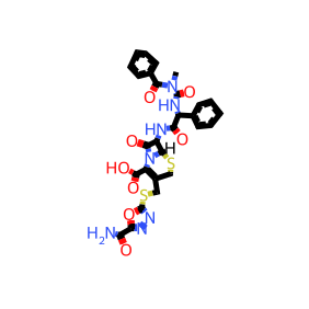 CN(C(=O)NC(C(=O)NC1C(=O)N2C(C(=O)O)=C(CSc3nnc(C(N)=O)o3)CS[C@@H]12)c1ccccc1)C(=O)c1ccccc1